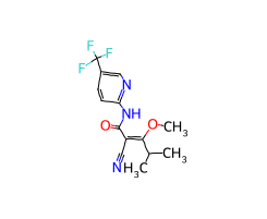 COC(=C(C#N)C(=O)Nc1ccc(C(F)(F)F)cn1)C(C)C